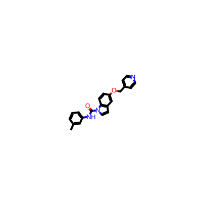 Cc1cccc(NC(=O)n2ccc3cc(OCc4ccncc4)ccc32)c1